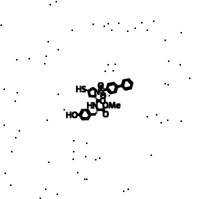 COC(=O)[C@H](Cc1ccc(O)cc1)NC(=O)[C@@H]1C[C@H](S)CN1S(=O)(=O)c1ccc(-c2ccccc2)cc1